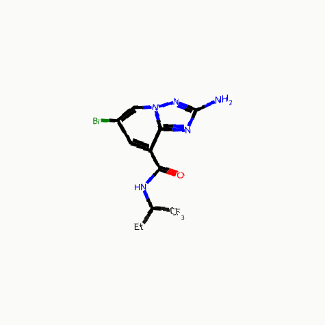 CCC(NC(=O)c1cc(Br)cn2nc(N)nc12)C(F)(F)F